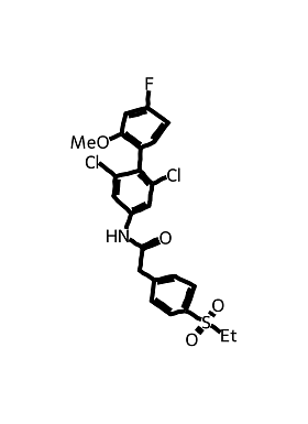 CCS(=O)(=O)c1ccc(CC(=O)Nc2cc(Cl)c(-c3ccc(F)cc3OC)c(Cl)c2)cc1